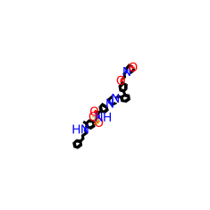 Cc1cc(S(=O)(=O)NC(=O)c2ccc(N3CCN(Cc4ccccc4-c4ccc(OCCN5CCOCC5)cc4)CC3)cc2)ccc1NCCCc1ccccc1